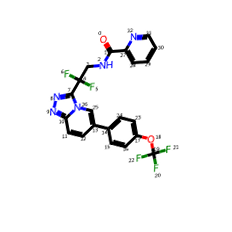 O=C(NCC(F)(F)c1nnc2ccc(-c3ccc(OC(F)(F)F)cc3)cn12)c1ccccn1